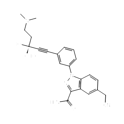 CN(C)CC[C@@](O)(C#Cc1cccc(-n2nc(C(N)=O)c3cc(CC#N)ccc32)c1)C=O